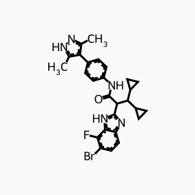 Cc1n[nH]c(C)c1-c1ccc(NC(=O)C(c2nc3ccc(Br)c(F)c3[nH]2)C(C2CC2)C2CC2)cc1